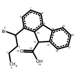 CCCC(Br)c1cccc2c1C(C(=O)O)c1ccccc1-2